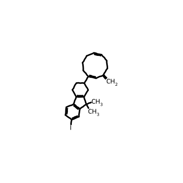 C=C1/C=C(/C2CCC3=C(C2)C(C)(C)c2cc(I)ccc23)CCC/C=C\CC1